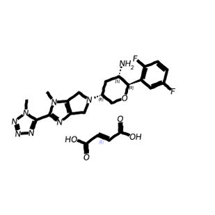 Cn1nnnc1-c1nc2c(n1C)CN([C@H]1CO[C@H](c3cc(F)ccc3F)[C@@H](N)C1)C2.O=C(O)/C=C/C(=O)O